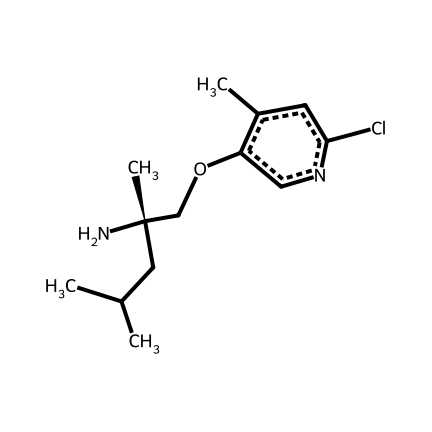 Cc1cc(Cl)ncc1OC[C@@](C)(N)CC(C)C